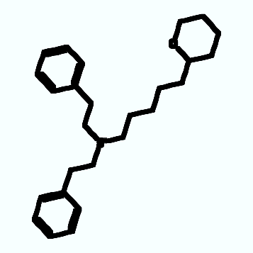 c1ccc(CC[S+](CCCCCC2CCCCO2)CCc2ccccc2)cc1